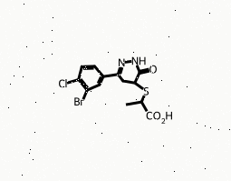 CC(SC1CC(c2ccc(Cl)c(Br)c2)=NNC1=O)C(=O)O